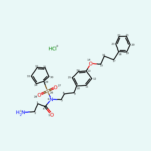 Cl.NCCC(=O)N(CCCc1ccc(OCCCc2ccccc2)cc1)S(=O)(=O)c1ccccc1